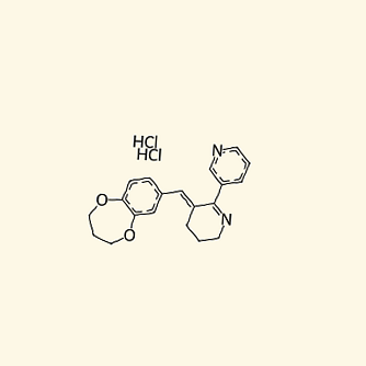 C(=C1CCCN=C1c1cccnc1)c1ccc2c(c1)OCCCO2.Cl.Cl